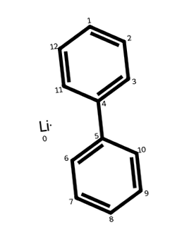 [Li].c1ccc(-c2ccccc2)cc1